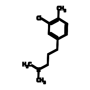 Cc1ccc(CCCN(C)C)cc1Cl